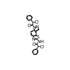 O=C(Nc1nc2ccc3c(cnn3C(=O)C(Cl)c3ccccc3)c2s1)C(Cl)c1ccccc1